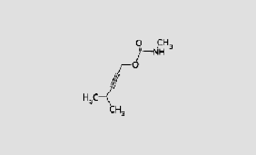 CNC(=O)OCC#CC(C)C